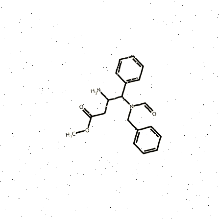 COC(=O)CC(N)C(c1ccccc1)N(C=O)Cc1ccccc1